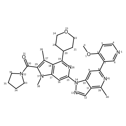 COc1ccncc1-c1cc2c(cnn2-c2cc3c(c(C4CCOCC4)n2)c(C)c(C(=O)N2CCCC2)n3C)c(C)n1